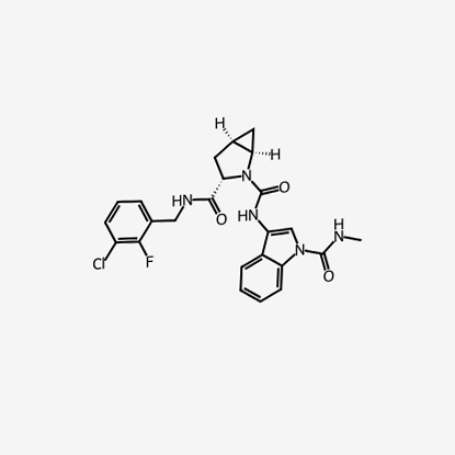 CNC(=O)n1cc(NC(=O)N2[C@@H]3C[C@@H]3C[C@H]2C(=O)NCc2cccc(Cl)c2F)c2ccccc21